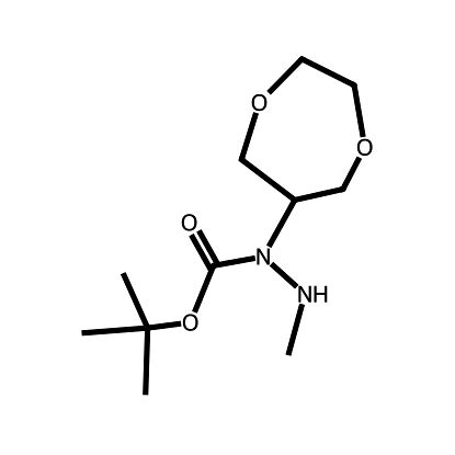 CNN(C(=O)OC(C)(C)C)C1COCCOC1